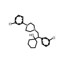 OC1(C(CN2CCN(c3cccc(Cl)c3)CC2)c2cccc(Cl)c2)CCCCC1